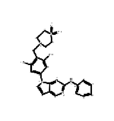 O=S1(=O)CCN(Cc2c(F)cc(-n3ccc4cnc(Nc5ccccc5)nc43)cc2F)CC1